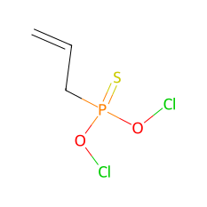 C=CCP(=S)(OCl)OCl